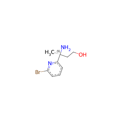 C[C@](N)(CCO)c1cccc(Br)n1